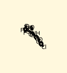 CC(C)(C)OC(=O)C[C@H](NC(=O)C1CCN(C(=O)Oc2ccc(Cl)cc2)CC1)C(=O)COc1c(F)c(F)cc(F)c1F